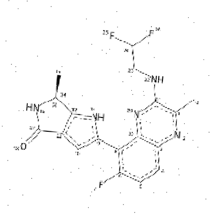 Cc1nc2ccc(F)c(-c3cc4c([nH]3)[C@H](C)NC4=O)c2nc1NCC(F)F